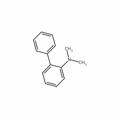 CN(C)c1c[c]ccc1-c1ccccc1